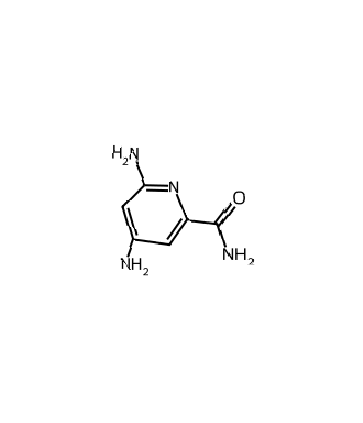 NC(=O)c1cc(N)cc(N)n1